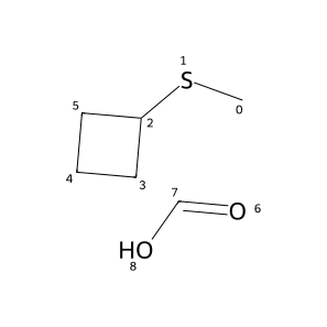 CSC1CCC1.O=CO